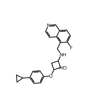 Cl.Fc1ccc2cnccc2c1CNC1CC(Oc2ccc(C3CC3)cc2)C1